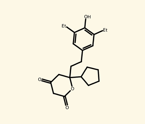 CCc1cc(CCC2(C3CCCC3)CC(=O)CC(=O)O2)cc(CC)c1O